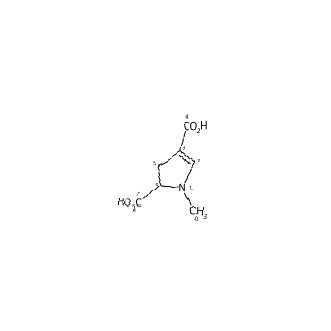 CN1C=C(C(=O)O)CC1C(=O)O